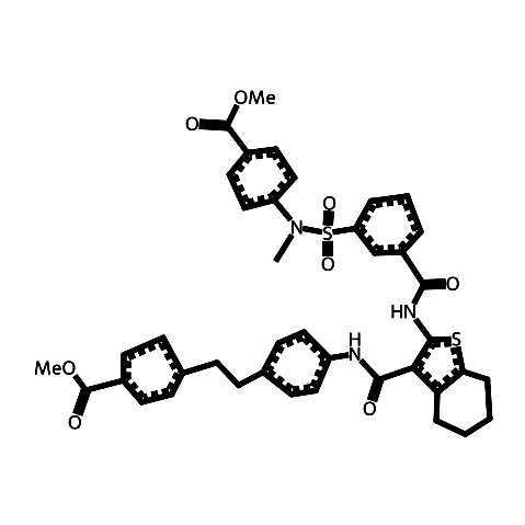 COC(=O)c1ccc(CCc2ccc(NC(=O)c3c(NC(=O)c4cccc(S(=O)(=O)N(C)c5ccc(C(=O)OC)cc5)c4)sc4c3CCCC4)cc2)cc1